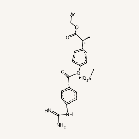 CC(=O)COC(=O)[C@@H](C)c1ccc(OC(=O)c2ccc(NC(=N)N)cc2)cc1.CS(=O)(=O)O